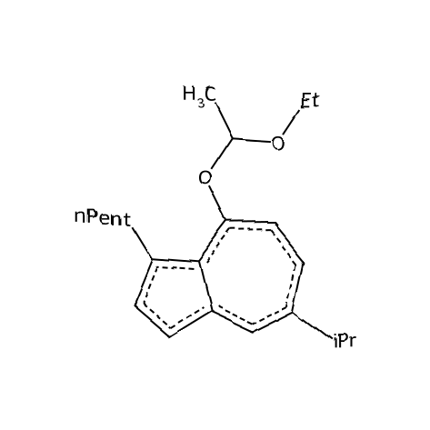 CCCCCc1ccc2cc(C(C)C)ccc(OC(C)OCC)c1-2